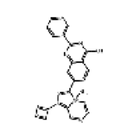 Cc1nc(-c2ccccc2)nc2cc(C3=NC(C4=CC=C4)=C4C=NC=C[N+]34N)ccc12